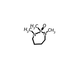 CN1CCCCN(C)P1(C)=O